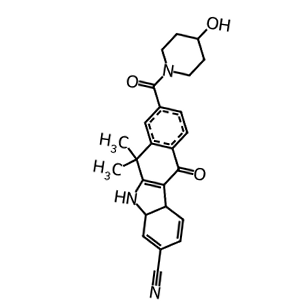 CC1(C)C2=C(C(=O)c3ccc(C(=O)N4CCC(O)CC4)cc31)C1C=CC(C#N)=CC1N2